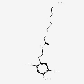 COCCOCCOCC(=O)NCCc1cc(N=O)c(N=O)cc1[N+](=O)[O-]